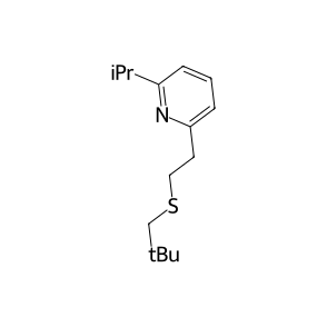 CC(C)c1cccc(CCSCC(C)(C)C)n1